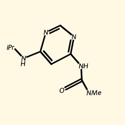 CNC(=O)Nc1cc(NC(C)C)ncn1